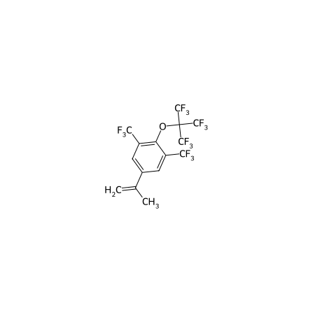 C=C(C)c1cc(C(F)(F)F)c(OC(C(F)(F)F)(C(F)(F)F)C(F)(F)F)c(C(F)(F)F)c1